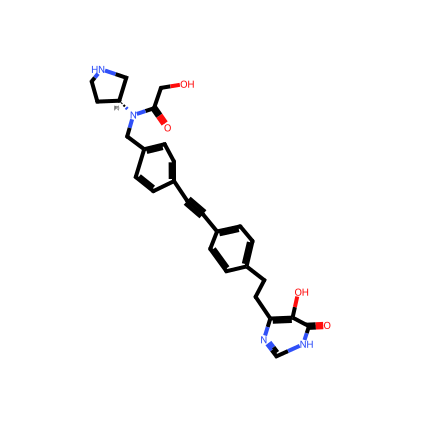 O=C(CO)N(Cc1ccc(C#Cc2ccc(CCc3nc[nH]c(=O)c3O)cc2)cc1)[C@@H]1CCNC1